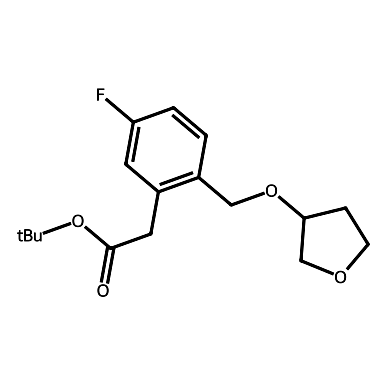 CC(C)(C)OC(=O)Cc1cc(F)ccc1COC1CCOC1